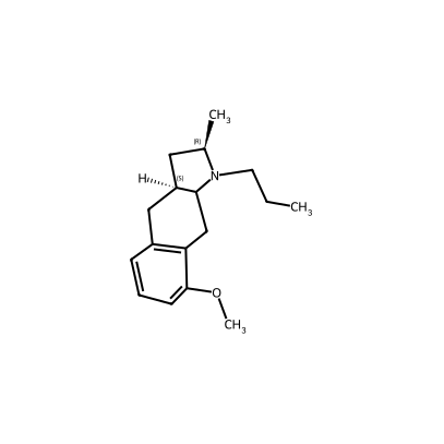 CCCN1C2Cc3c(cccc3OC)C[C@H]2C[C@H]1C